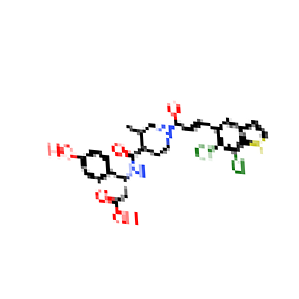 CC1CN(C(=O)/C=C/c2cc3ccsc3c(Cl)c2Cl)CCC1C(=O)N[C@H](CC(=O)O)c1ccc(O)cc1